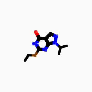 CCSc1nc2c(cnn2C(C)C)c(=O)[nH]1